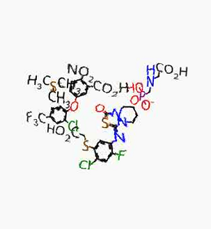 C[S+](C)C.O=C(O)CNCP(=O)([O-])O.O=C(O)CSc1cc(N=c2sc(=O)n3n2CCCC3)c(F)cc1Cl.O=C(O)c1cc(Oc2ccc(C(F)(F)F)cc2Cl)ccc1[N+](=O)[O-]